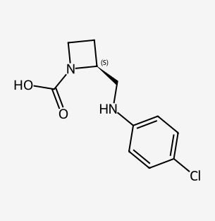 O=C(O)N1CC[C@H]1CNc1ccc(Cl)cc1